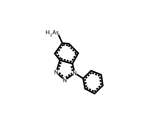 [AsH2]c1ccc2c(c1)nnn2-c1ccccc1